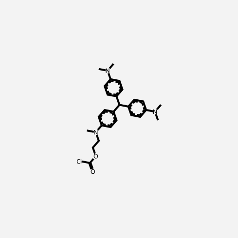 CN(C)c1ccc(C(c2ccc(N(C)C)cc2)c2ccc(N(C)CCOC(=O)Cl)cc2)cc1